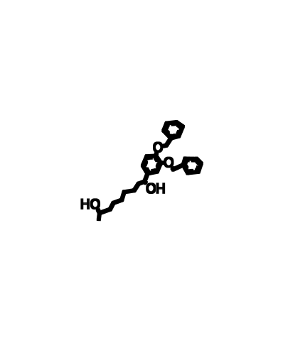 CC(O)CCCCCCC(O)c1ccc(OCc2ccccc2)c(OCc2ccccc2)c1